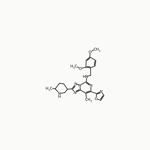 COc1ccc(CNc2nc(-c3ncco3)c(C)c3nc(C4CCC(C)NC4)nn23)c(OC)c1